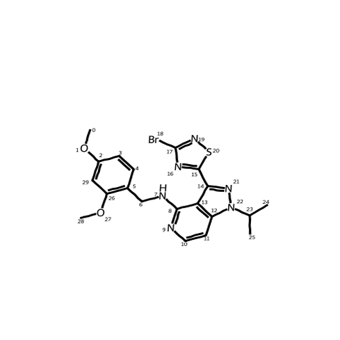 COc1ccc(CNc2nccc3c2c(-c2nc(Br)ns2)nn3C(C)C)c(OC)c1